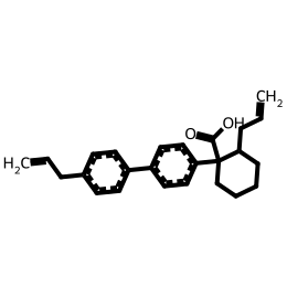 C=CCc1ccc(-c2ccc(C3(C(=O)O)CCCCC3CC=C)cc2)cc1